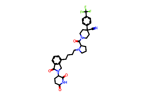 N#CC1(c2ccc(C(F)(F)F)cc2)CCN(C(=O)C2CCCN2CCCCc2cccc3c2CN(C2CCC(=O)NC2=O)C3=O)CC1